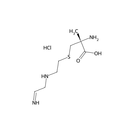 C[C@](N)(CSCCNCC=N)C(=O)O.Cl